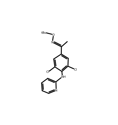 CC(=NOC(C)(C)C)c1cc(Cl)c(Nc2ccccn2)c(Cl)c1